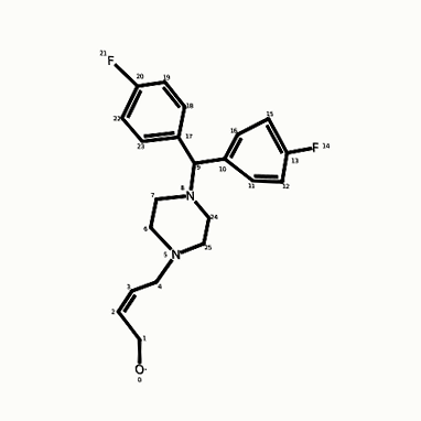 [O]C/C=C\CN1CCN(C(c2ccc(F)cc2)c2ccc(F)cc2)CC1